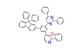 c1ccc(-c2cc(-c3cc(-c4ccc5c(c4)C(c4ccccc4)(c4ccccc4)c4ccccc4-5)cc(-c4ccnc5c4oc4ccccc45)c3)nc(-c3ccccc3)n2)cc1